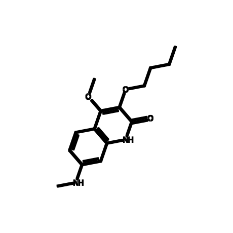 CCCCOc1c(OC)c2ccc(NC)cc2[nH]c1=O